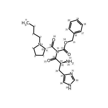 CCCCN1CCC[C@H]1C(=O)N(C(=O)OCc1ccccc1)C(=O)[C@@H](N)Cc1c[nH]cn1